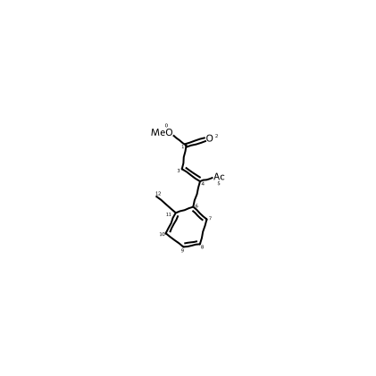 COC(=O)C=C(C(C)=O)c1ccccc1C